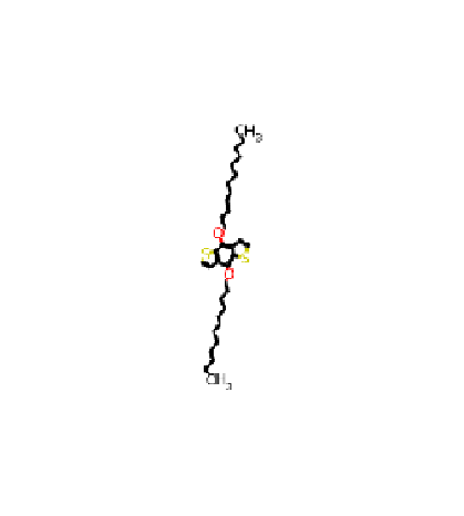 CCCCCCCCCCCCOc1c2ccsc2c(OCCCCCCCCCCCC)c2ccsc12